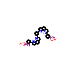 OPc1cccc(-c2ccc3ccc4ccc(-c5cccc(-c6ccc7ccc8ccc(-c9cccc(PO)c9)nc8c7n6)c5)nc4c3n2)c1